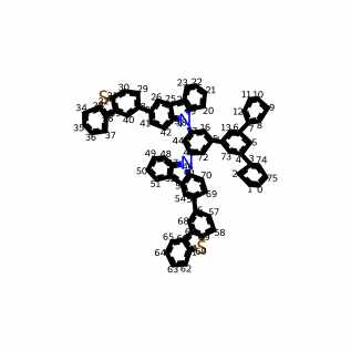 c1ccc(-c2cc(-c3ccccc3)cc(-c3cc(-n4c5ccccc5c5cc(-c6ccc7sc8ccccc8c7c6)ccc54)cc(-n4c5ccccc5c5cc(-c6ccc7sc8ccccc8c7c6)ccc54)c3)c2)cc1